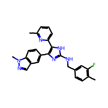 Cc1cccc(-c2[nH]c(NCc3ccc(C)c(F)c3)nc2-c2ccc3c(cnn3C)c2)n1